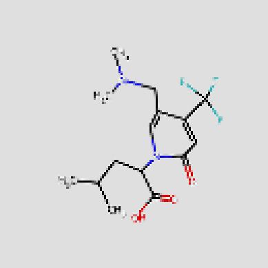 CC(C)CC(C(=O)O)n1cc(CN(C)C)c(C(F)(F)F)cc1=O